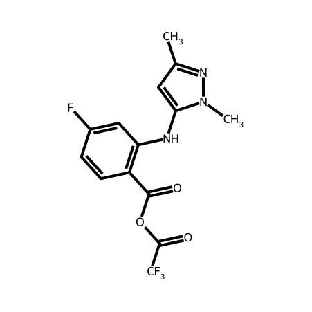 Cc1cc(Nc2cc(F)ccc2C(=O)OC(=O)C(F)(F)F)n(C)n1